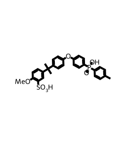 COc1ccc(C(C)(C)c2ccc(Oc3ccc(P(=O)(O)c4ccc(C)cc4)cc3)cc2)cc1S(=O)(=O)O